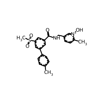 Cc1ccc(-c2cc(C(=O)NCc3ccc(C)[n+](O)c3)cc(S(C)(=O)=O)c2)cc1